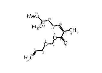 C=CCOCOC(=O)C(C)=CCCC(C)OC